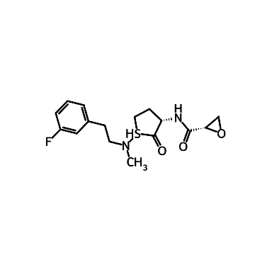 CN(CCc1cccc(F)c1)[SH]1CC[C@H](NC(=O)[C@@H]2CO2)C1=O